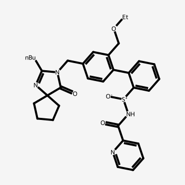 CCCCC1=NC2(CCCC2)C(=O)N1Cc1ccc(-c2ccccc2[S+]([O-])NC(=O)c2ccccn2)c(COCC)c1